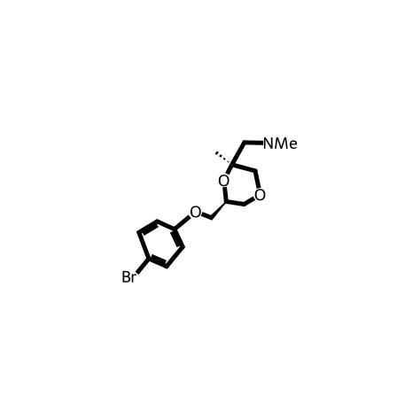 CNC[C@@]1(C)COC[C@@H](COc2ccc(Br)cc2)O1